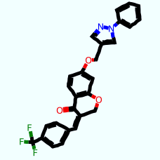 O=C1C(=Cc2ccc(C(F)(F)F)cc2)COc2cc(OCc3cnn(-c4ccccc4)c3)ccc21